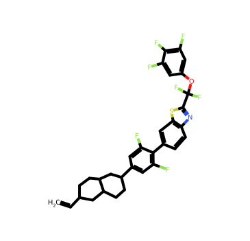 C=CC1CCC2CC(c3cc(F)c(-c4ccc5nc(C(F)(F)Oc6cc(F)c(F)c(F)c6)sc5c4)c(F)c3)CCC2C1